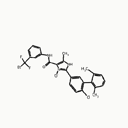 CCC(F)(F)c1cccc(NC(=O)c2c(C)[nH]c(-c3ccc(Cl)c(-c4c(C)cccc4C)c3)[n+]2[O-])c1